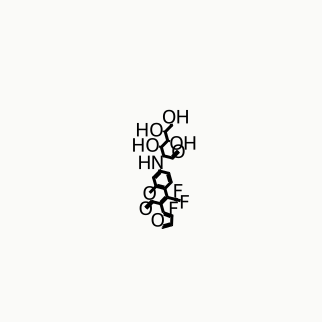 O=C[C@H](Nc1ccc2c(C(F)(F)F)c(-c3ccco3)c(=O)oc2c1)[C@@H](O)[C@H](O)[C@H](O)CO